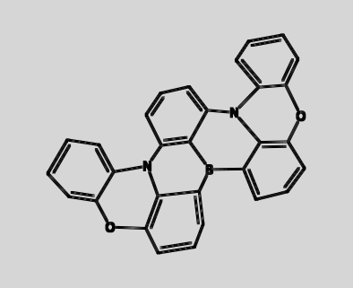 c1ccc2c(c1)Oc1cccc3c1N2c1cccc2c1B3c1cccc3c1N2c1ccccc1O3